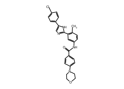 Cc1ccc(NC(=O)c2ccc(N3CCOCC3)cc2)cc1-c1ncc(-c2ccc(Cl)cc2)[nH]1